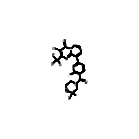 O=C(c1ccc(-c2cccn3c(=O)c(Br)c(C(F)(F)F)nc23)cc1F)N1CCOC(F)(F)C1